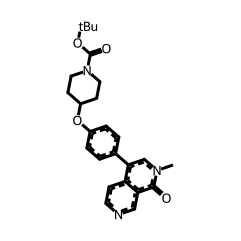 Cn1cc(-c2ccc(OC3CCN(C(=O)OC(C)(C)C)CC3)cc2)c2ccncc2c1=O